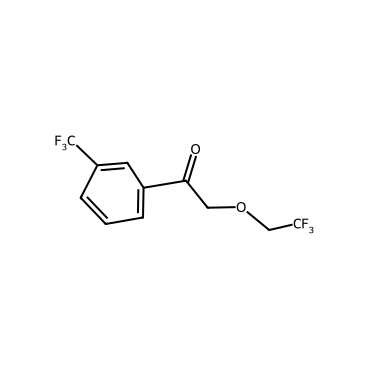 O=C(COCC(F)(F)F)c1cccc(C(F)(F)F)c1